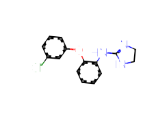 Clc1cccc(Oc2ccccc2NC2=NCCN2)c1